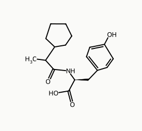 CC(C(=O)N[C@@H](Cc1ccc(O)cc1)C(=O)O)C1CCCCC1